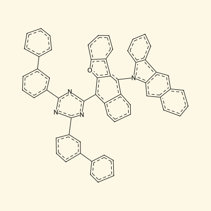 c1ccc(-c2cccc(-c3nc(-c4cccc(-c5ccccc5)c4)nc(-c4c5ccccc5c(-n5c6ccccc6c6cc7ccccc7cc65)c5c4oc4ccccc45)n3)c2)cc1